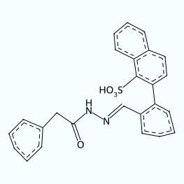 O=C(Cc1ccccc1)NN=Cc1ccccc1-c1ccc2ccccc2c1S(=O)(=O)O